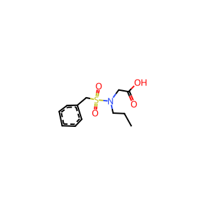 CCCN(CC(=O)O)S(=O)(=O)Cc1ccccc1